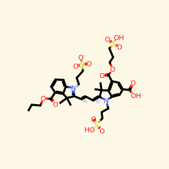 CCCOC(=O)c1cccc2c1C(C)(C)C(/C=C/C=C1/N(CCCS(=O)(=O)O)c3cc(C(=O)O)cc(C(=O)OCCCS(=O)(=O)O)c3C1(C)C)=[N+]2CCCS(=O)(=O)[O-]